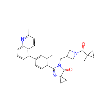 Cc1ccc2c(-c3ccc(C4=NC5(CC5)C(=O)N4CC4CN(C(=O)C5(C)CC5)C4)c(C)c3)cccc2n1